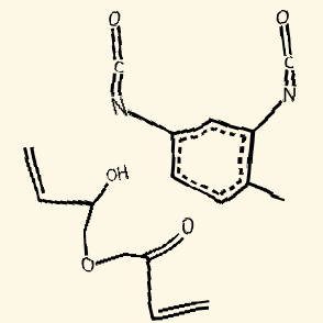 C=CC(=O)OC(O)C=C.Cc1ccc(N=C=O)cc1N=C=O